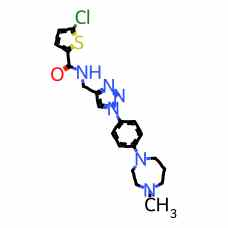 CN1CCCN(c2ccc(-n3cc(CNC(=O)c4ccc(Cl)s4)nn3)cc2)CC1